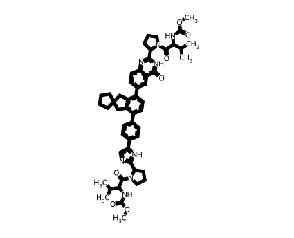 COC(=O)NC(C(=O)N1CCCC1c1ncc(-c2ccc(-c3ccc(-c4ccc5nc(C6CCCN6C(=O)C(NC(=O)OC)C(C)C)[nH]c(=O)c5c4)c4c3CC3(CCCC3)C4)cc2)[nH]1)C(C)C